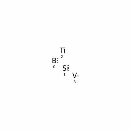 [B].[Si].[Ti].[V]